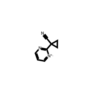 N#CC1(C2=NC=CC=[N+]2)CC1